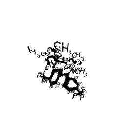 COc1ccnc(C(=O)NC(C)C(=O)ON(C)C(c2ccc(C(F)(F)F)cc2)c2ccc(C(F)(F)F)cc2)c1OC(C)=O